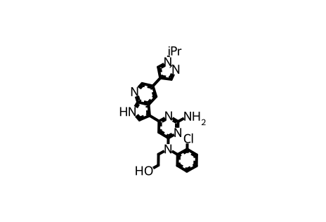 CC(C)n1cc(-c2cnc3[nH]cc(-c4cc(N(CCO)c5ccccc5Cl)nc(N)n4)c3c2)cn1